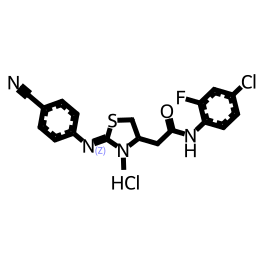 CN1/C(=N/c2ccc(C#N)cc2)SCC1CC(=O)Nc1ccc(Cl)cc1F.Cl